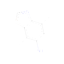 Cc1cc(N)c(C)c2scnc12